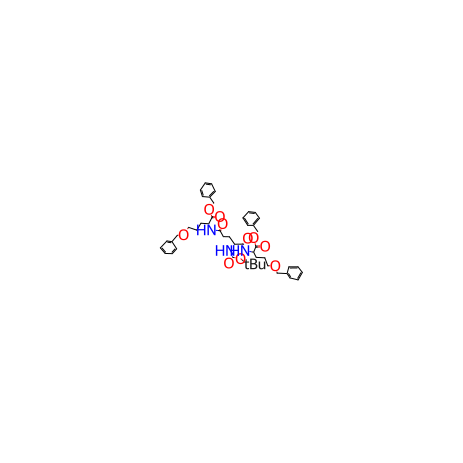 CC(C)(C)OC(=O)NC(CCC(=O)NC(CCCOCc1ccccc1)C(=O)OCc1ccccc1)C(=O)NC(CCCOCc1ccccc1)C(=O)OCc1ccccc1